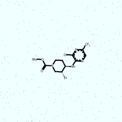 CC[C@@H]1CN(C(=O)OC(C)(C)C)CC[C@H]1Nc1ncc(C(F)(F)F)nc1Cl